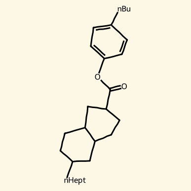 CCCCCCCC1CCC2CC(C(=O)Oc3ccc(CCCC)cc3)CCC2C1